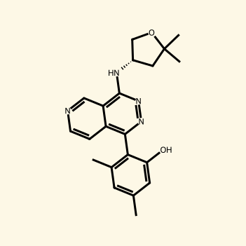 Cc1cc(C)c(-c2nnc(N[C@@H]3COC(C)(C)C3)c3cnccc23)c(O)c1